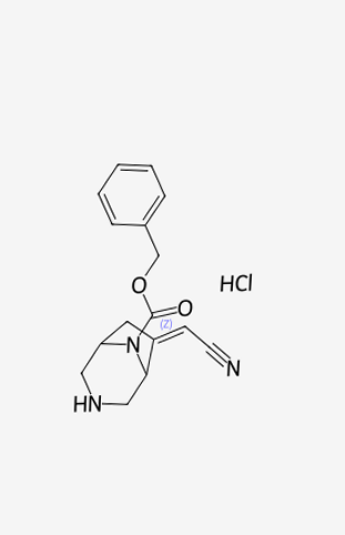 Cl.N#C/C=C1/CC2CNCC1N2C(=O)OCc1ccccc1